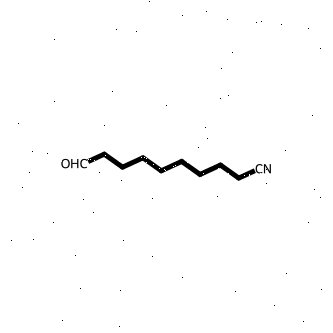 N#CCCCCCCCCC=O